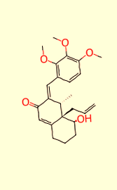 C=CC[C@@]12C(=CC(=O)/C(=C/c3ccc(OC)c(OC)c3OC)[C@@H]1C)CCC[C@@H]2O